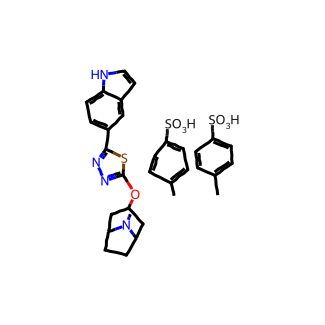 CN1C2CCC1CC(Oc1nnc(-c3ccc4[nH]ccc4c3)s1)C2.Cc1ccc(S(=O)(=O)O)cc1.Cc1ccc(S(=O)(=O)O)cc1